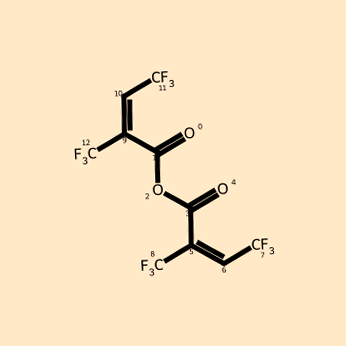 O=C(OC(=O)/C(=C\C(F)(F)F)C(F)(F)F)/C(=C\C(F)(F)F)C(F)(F)F